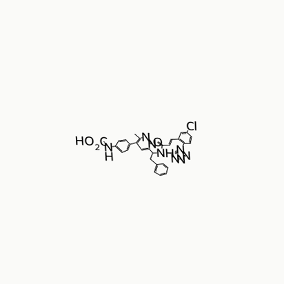 Cc1nnc(C(Cc2ccccc2)NC(=O)C=Cc2cc(Cl)ccc2-n2cnnn2)cc1-c1ccc(NC(=O)O)cc1